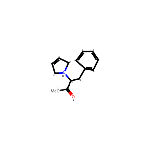 COC(=O)C(Cc1ccccc1)N1CC=CC1